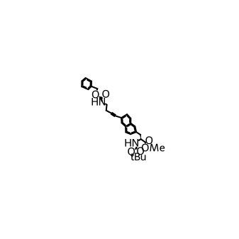 COC(=O)[C@H](Cc1ccc2cc(C#CCCNC(=O)OCc3ccccc3)ccc2c1)NC(=O)OC(C)(C)C